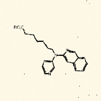 CCOC(=O)CCCCCCN(c1cccnc1)c1cc2ccccc2cn1